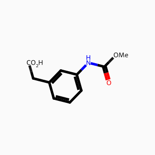 COC(=O)Nc1cccc(CC(=O)O)c1